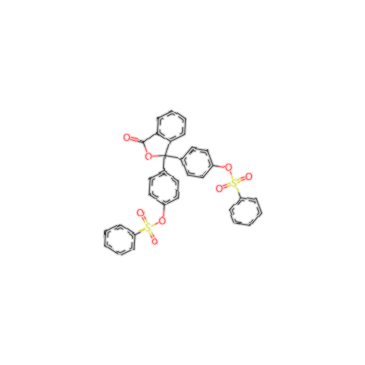 O=C1OC(c2ccc(OS(=O)(=O)c3ccccc3)cc2)(c2ccc(OS(=O)(=O)c3ccccc3)cc2)c2ccccc21